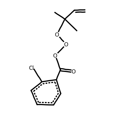 C=CC(C)(C)OOOC(=O)c1ccccc1Cl